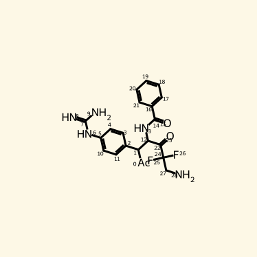 CC(=O)C(c1ccc(NC(=N)N)cc1)C(NC(=O)c1ccccc1)C(=O)C(F)(F)CN